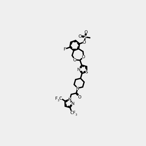 CS(=O)(=O)Oc1ccc(F)c2c1COC(c1csc(C3CCN(C(=O)Cn4nc(C(F)(F)F)cc4C(F)(F)F)CC3)n1)OC2